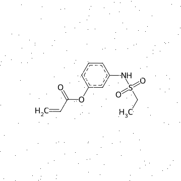 C=CC(=O)Oc1cccc(NS(=O)(=O)CC)c1